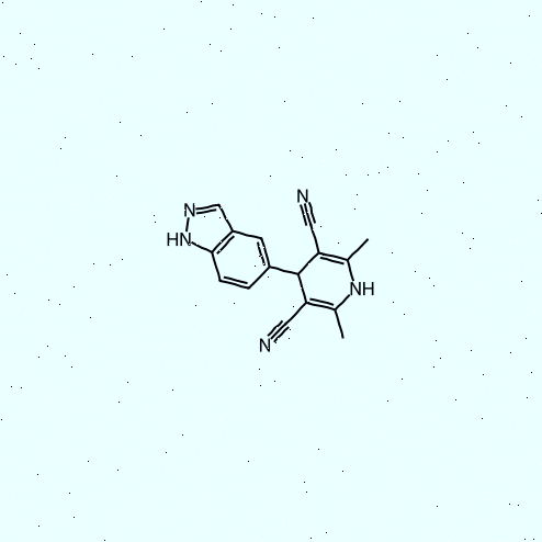 CC1=C(C#N)C(c2ccc3[nH]ncc3c2)C(C#N)=C(C)N1